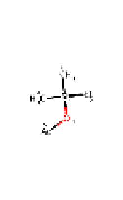 CC[Si](C)(C)OC(C)=O